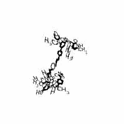 CCN(c1cc(-c2ccc(CCCOCCCCC(=O)N[C@H](C(=O)N3C[C@H](O)C[C@H]3C(=O)N[C@@H](C)c3ccc(-c4scnc4C)cc3)C(C)(C)C)cc2)cc(C(=O)NCc2c(C)cc(C)[nH]c2=O)c1C)C1CCOCC1